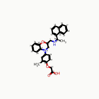 Cc1cc(N2CC(CN[C@H](C)c3cccc4ccccc34)Oc3ccccc32)ccc1OCC(=O)O